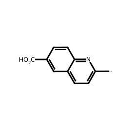 [CH2]c1ccc2cc(C(=O)O)ccc2n1